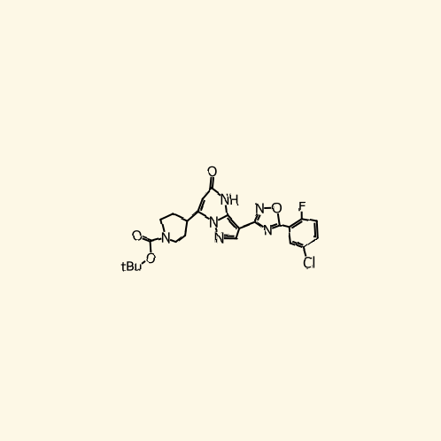 CC(C)(C)OC(=O)N1CCC(c2cc(=O)[nH]c3c(-c4noc(-c5cc(Cl)ccc5F)n4)cnn23)CC1